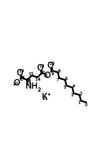 CCCCCCCCCC(=O)OC(=O)CC[C@H](N)C(=O)[O-].[K+]